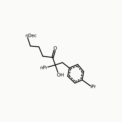 CCCCCCCCCCCCCC(=O)C(O)(CCC)Cc1ccc(C(C)C)cc1